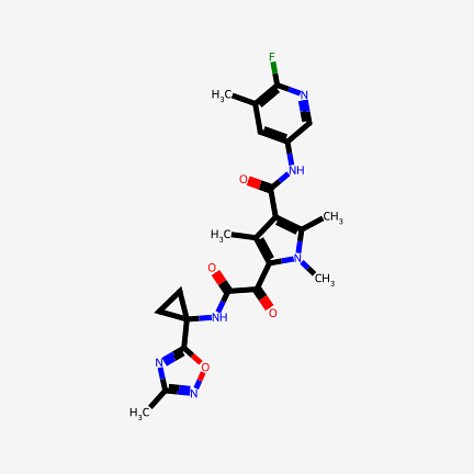 Cc1noc(C2(NC(=O)C(=O)c3c(C)c(C(=O)Nc4cnc(F)c(C)c4)c(C)n3C)CC2)n1